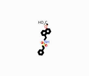 O=C(O)COc1cccc2c(CCNS(=O)(=O)/C=C/c3ccccc3)cccc12